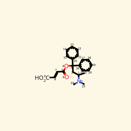 CC(CC(OC(=O)C=CC(=O)O)(c1ccccc1)c1ccccc1)N(C)C